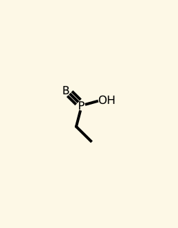 B#P(O)CC